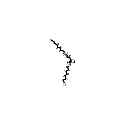 CCCCCCCCSCCCC(=O)OSCCCCCCCC